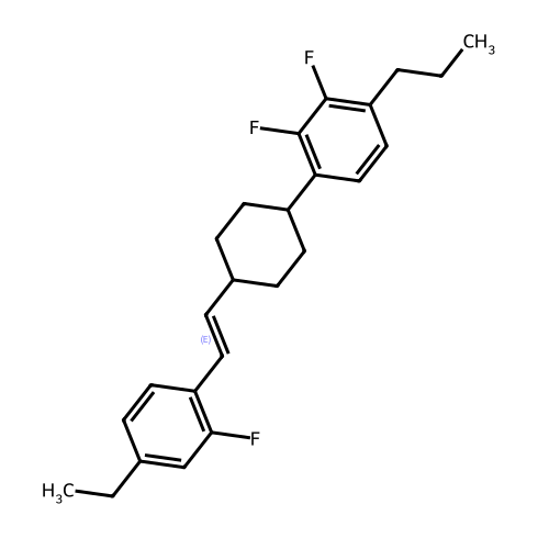 CCCc1ccc(C2CCC(/C=C/c3ccc(CC)cc3F)CC2)c(F)c1F